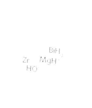 [BiH3].[MgH+].[OH-].[Zr]